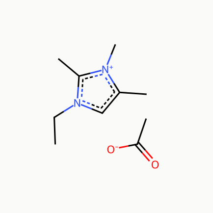 CC(=O)[O-].CCn1cc(C)[n+](C)c1C